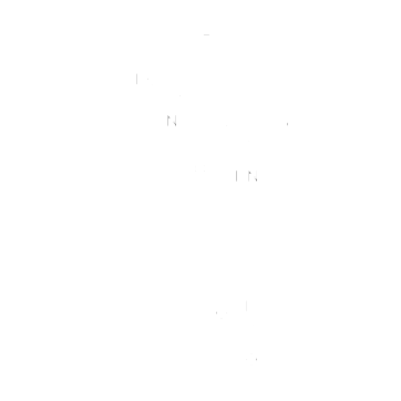 Cc1c(F)cc(C(=O)NCc2ccc(C[SH](=O)=O)cc2)c(=O)n1-c1cccc(C(F)(F)F)c1